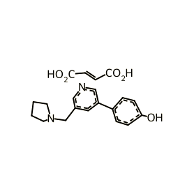 O=C(O)C=CC(=O)O.Oc1ccc(-c2cncc(CN3CCCC3)c2)cc1